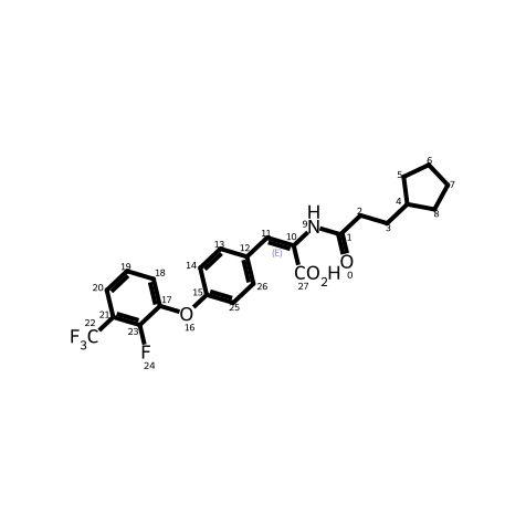 O=C(CCC1CCCC1)N/C(=C/c1ccc(Oc2cccc(C(F)(F)F)c2F)cc1)C(=O)O